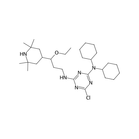 CCOC(CCNc1nc(Cl)nc(N(C2CCCCC2)C2CCCCC2)n1)C1CC(C)(C)NC(C)(C)C1